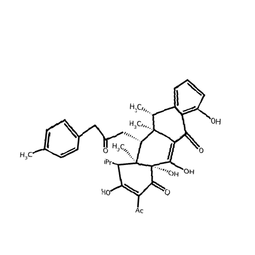 CC(=O)C1=C(O)C(C(C)C)[C@@]2(C)[C@H](CC(=O)Cc3ccc(C)cc3)[C@]3(C)C(=C(O)[C@@]2(O)C1=O)C(=O)c1c(O)cccc1[C@H]3C